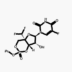 CC(C)OP1(=O)OC[C@@]2(C(F)F)O[C@@H](n3cc(F)c(=O)[nH]c3=O)[C@H](O)[C@@H]2O1